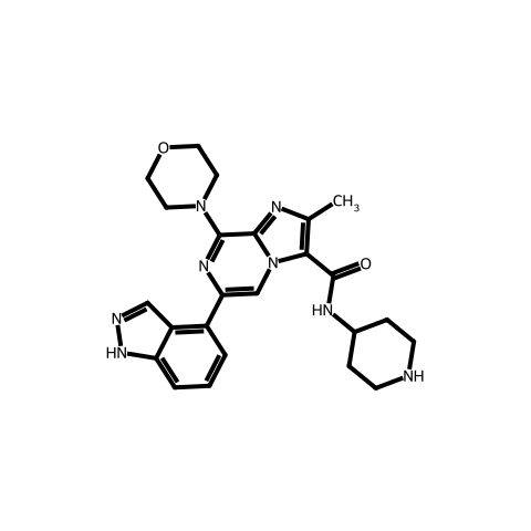 Cc1nc2c(N3CCOCC3)nc(-c3cccc4[nH]ncc34)cn2c1C(=O)NC1CCNCC1